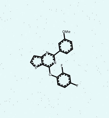 COc1cccc(-c2nc(Oc3ccc(F)cc3F)c3sccc3n2)c1